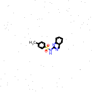 Cc1ccc(S(=O)(=O)Nc2ncc3ccccc3n2)cc1